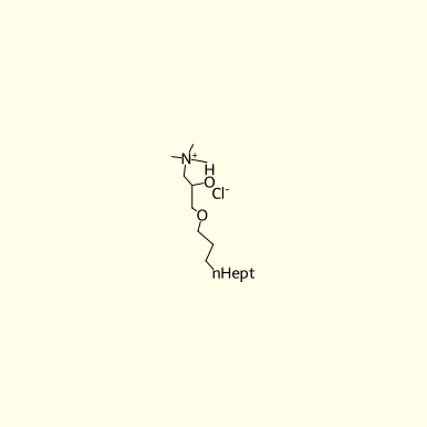 CCCCCCCCCCOCC(O)C[N+](C)(C)C.[Cl-]